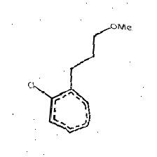 COCCCc1ccccc1Cl